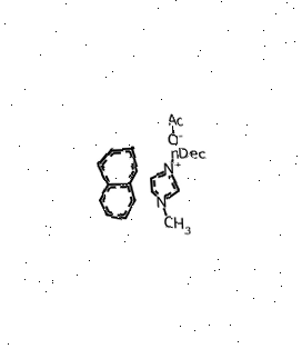 CC(=O)[O-].CCCCCCCCCC[n+]1ccn(C)c1.c1ccc2ccccc2c1